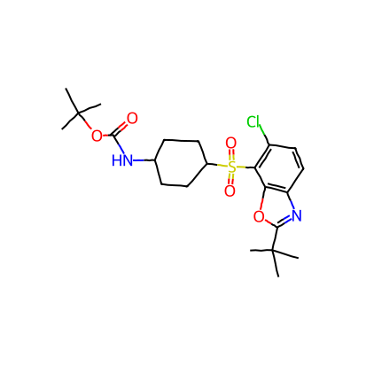 CC(C)(C)OC(=O)NC1CCC(S(=O)(=O)c2c(Cl)ccc3nc(C(C)(C)C)oc23)CC1